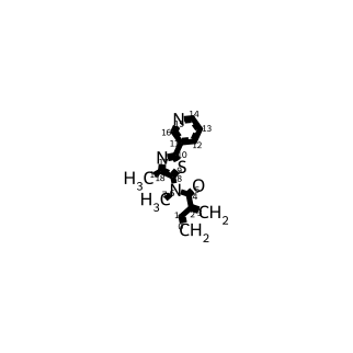 C=CC(=C)C(=O)N(C)c1sc(-c2cccnc2)nc1C